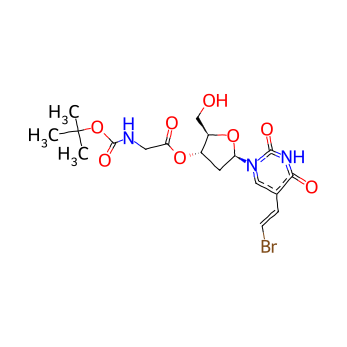 CC(C)(C)OC(=O)NCC(=O)O[C@H]1C[C@H](n2cc(/C=C/Br)c(=O)[nH]c2=O)O[C@@H]1CO